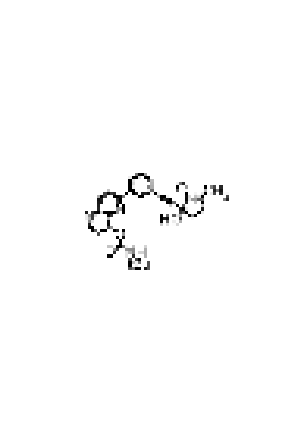 CN1CC[C@@](O)(C#Cc2cccc(-c3ccc4nccc(OC(=O)NC(C)(C)C)c4n3)c2)C1=O